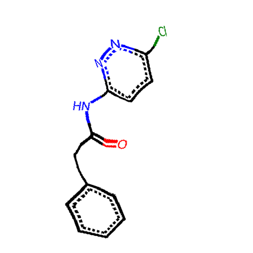 O=C(Cc1ccccc1)Nc1ccc(Cl)nn1